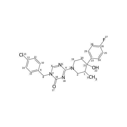 CC1CN(c2ncn(Cc3ccc(Cl)cc3)c(=O)n2)CCC1(O)c1ccc(F)cc1